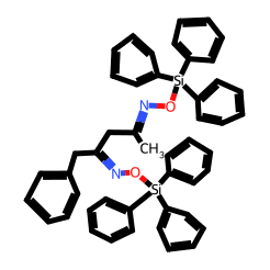 CC(CC(Cc1ccccc1)=NO[Si](c1ccccc1)(c1ccccc1)c1ccccc1)=NO[Si](c1ccccc1)(c1ccccc1)c1ccccc1